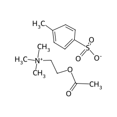 CC(=O)OCC[N+](C)(C)C.Cc1ccc(S(=O)(=O)[O-])cc1